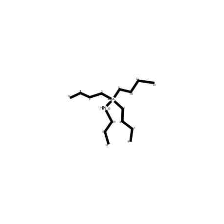 CCCC[P](CCCC)(CCCC)NCCC